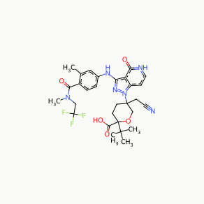 Cc1cc(Nc2nn(C3(CC#N)CCC(C(=O)O)(C(C)(C)C)OC3)c3cc[nH]c(=O)c23)ccc1C(=O)N(C)CC(F)(F)F